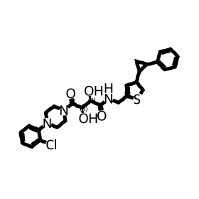 O=C(NCC1=CC(C2CC2c2ccccc2)CS1)[C@H](O)[C@@H](O)C(=O)N1CCN(c2ccccc2Cl)CC1